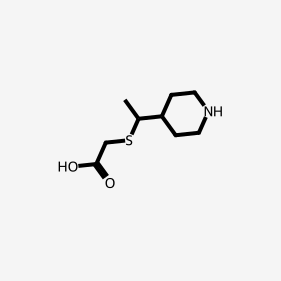 CC(SCC(=O)O)C1CCNCC1